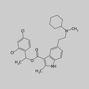 Cc1[nH]c2ccc(CCN(C)C3CCCCC3)cc2c1C(=O)OC(C)c1ccc(Cl)cc1Cl